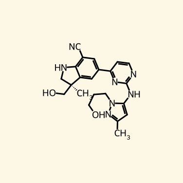 Cc1cc(Nc2nccc(-c3cc(C#N)c4c(c3)[C@@](C)(CO)CN4)n2)n(CCCO)n1